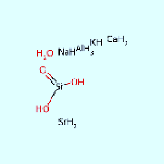 O.O=[Si](O)O.[AlH3].[CaH2].[KH].[NaH].[SrH2]